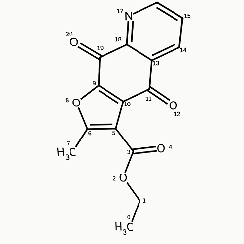 CCOC(=O)c1c(C)oc2c1C(=O)c1cccnc1C2=O